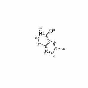 Cc1cnc2c(c1)C(=O)N(C)CC2